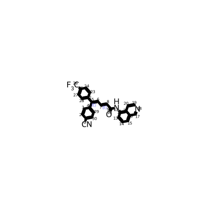 N#Cc1ccc(/C(=C\C=C\C(=O)Nc2cccc3cnccc23)c2ccc(C(F)(F)F)cc2)cc1